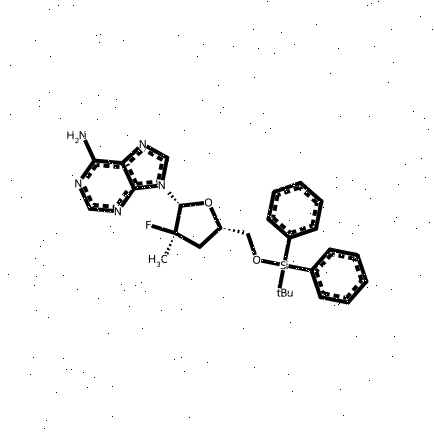 CC(C)(C)[Si](OC[C@@H]1C[C@@](C)(F)[C@H](n2cnc3c(N)ncnc32)O1)(c1ccccc1)c1ccccc1